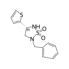 O=S1(=O)N[C@@H](c2cccs2)CN1Cc1ccccc1